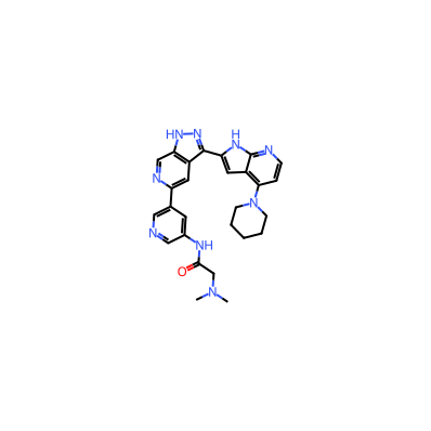 CN(C)CC(=O)Nc1cncc(-c2cc3c(-c4cc5c(N6CCCCC6)ccnc5[nH]4)n[nH]c3cn2)c1